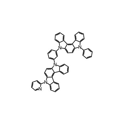 c1ccc(-n2c3ccccc3c3c4c5ccccc5n(-c5cccc(-n6c7ccccc7c7c8c9ccccc9n(-c9ccccn9)c8ccc76)c5)c4ccc32)cc1